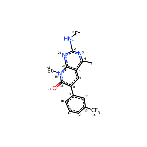 CCNc1nc(C)c2cc(-c3cccc(C(F)(F)F)c3)c(=O)n(CC)c2n1